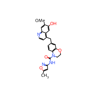 COc1cc2nccc(Cc3ccc4c(c3)OCCN4C(=O)Nc3cc(C)on3)c2cc1O